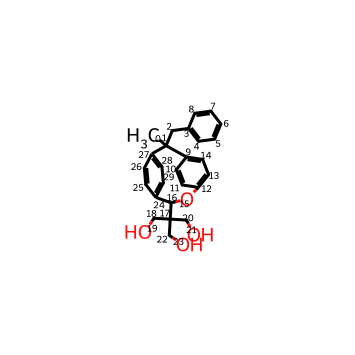 CC1(Cc2ccccc2)c2ccc(cc2)OC(C(CO)(CO)CO)c2ccc1cc2